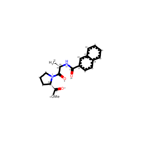 COC(=O)[C@@H]1CCCN1C(=O)[C@H](C)NC(=O)c1ccc2ccccc2c1